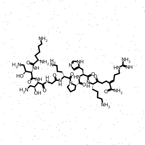 N=C(N)NCC/C=C(\CCC(=O)[C@H](CCCCN)NC(=O)[C@H](Cc1cnc[nH]1)NC(=O)[C@@H]1CCCN1C(=O)[C@@H](CCCN)NC(=O)CNC(=O)[C@@H](NC(=O)[C@@H](NC(=O)[C@@H](N)CCCCN)[C@@H](O)CN)[C@@H](O)CN)C(N)=O